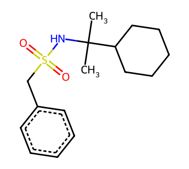 CC(C)(NS(=O)(=O)Cc1ccccc1)C1CCCCC1